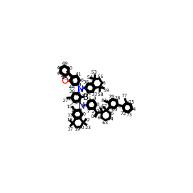 C=C(c1ccc2c(c1)N(c1cc3c(cc1C)C(C)(C)CCC3(C)C)c1cc(C)cc3c1B2c1cc2c(cc1N3c1ccc3c(c1)oc1ccccc13)C(C)(C)CCC2(C)C)C1(C)CCCCC1(C)c1cc(-c2ccccc2C)ccc1C